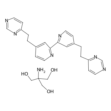 NC(CO)(CO)CO.c1cc(CCc2ccnc(-c3cc(CCc4ccncn4)ccn3)c2)ncn1